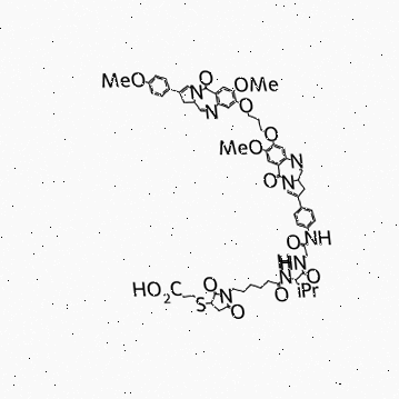 COc1ccc(C2=CN3C(=O)c4cc(OC)c(OCCCOc5cc6c(cc5OC)C(=O)N5C=C(c7ccc(NC(=O)CNC(=O)C(NC(=O)CCCCCN8C(=O)CC(SCCC(=O)O)C8=O)C(C)C)cc7)CC5C=N6)cc4N=CC3C2)cc1